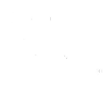 C=C(C)c1cc(F)c(CCN2CCC(O)CC2C)c(F)c1